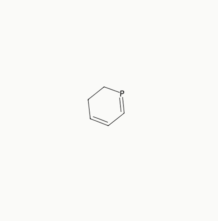 C1=CCCP=C1